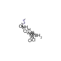 Bc1cnn2c(NCc3ccc(CNC(=O)C(=C)/C=C\C=C/C)cc3)cc(-c3ccccc3Cl)nc12